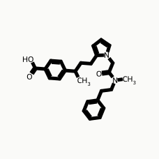 CC(CCc1cccn1CC(=O)N(C)CCc1ccccc1)c1ccc(C(=O)O)cc1